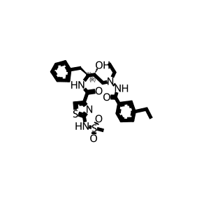 CCc1cccc(C(=O)NN(CC)C[C@@H](O)[C@H](Cc2ccccc2)NC(=O)c2csc(NS(C)(=O)=O)n2)c1